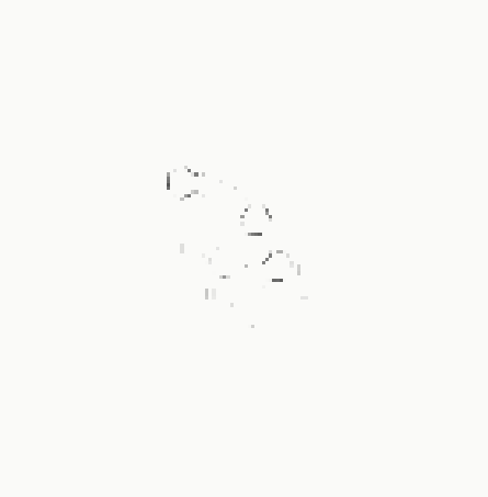 Cc1nc(C)c([C@H](OC(C)(C)C)C(=O)O)c(N2CCC(C)(C)CC2)c1-c1ccc(OC2Cc3ccccc3C2)cc1